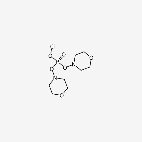 O=P(OCl)(ON1CCOCC1)ON1CCOCC1